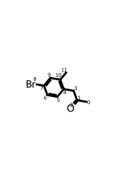 CC(=O)Cc1ccc(Br)cc1C